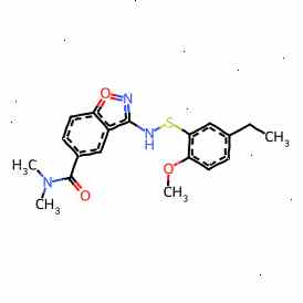 CCc1ccc(OC)c(SNc2noc3ccc(C(=O)N(C)C)cc23)c1